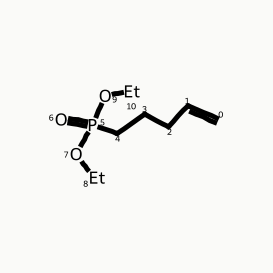 C=CCCCP(=O)(OCC)OCC